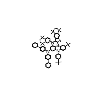 CC(C)(C)c1ccc(N2c3ccc(C(C)(C)C)cc3B3c4sc5cc6c(cc5c4N(c4ccc5c(c4)C(C)(C)CCC5(C)C)c4cc(N(c5ccc(-c7ccccc7)cc5)c5ccc(-c7ccccc7)cc5)cc2c43)C(C)(C)CCC6(C)C)cc1